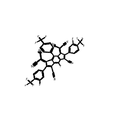 N#CC(C#N)=C1C(c2ccc(C(F)(F)F)c(F)c2)=C(C#N)c2c(F)c3c(c(-c4ccc(C(F)(F)F)cc4)c21)C(=C(C#N)C#N)C(c1ccc(C(F)(F)F)c(F)c1)=C3C#N